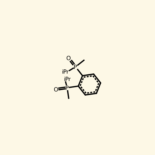 CC(C)P(C)(=O)c1ccccc1P(C)(=O)C(C)C